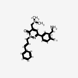 CN(C)Cc1cc(-c2ccc(F)c(CN)c2)nn(CC=Cc2ccccc2)c1=O